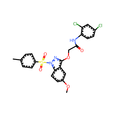 COc1ccc2c(c1)c(OCC(=O)Nc1ccc(Cl)cc1Cl)nn2S(=O)(=O)c1ccc(C)cc1